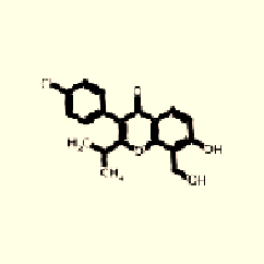 CC(C)c1oc2c(CO)c(O)ccc2c(=O)c1-c1ccc(Cl)cc1